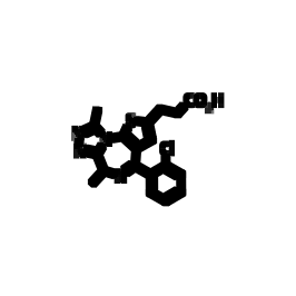 Cc1nnc2n1-c1sc(CCC(=O)O)cc1C(c1ccccc1Cl)=NC2C